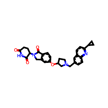 O=C1CCC(N2Cc3cc(OC4CCN(Cc5ccc6nc(C7CC7)ccc6c5)C4)ccc3C2=O)C(=O)N1